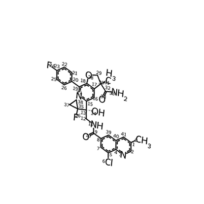 Cc1cnc2c(Cl)cc(C(=O)NC[C@](O)(c3cc4c(c(-c5ccc(F)cc5)n3)OC[C@]4(C)C(N)=O)C3(F)CC3)cc2c1